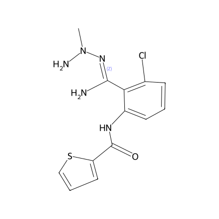 CN(N)/N=C(\N)c1c(Cl)cccc1NC(=O)c1cccs1